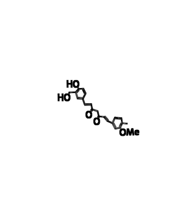 COc1cc(/C=C/C(=O)CC(=O)/C=C/c2ccc(O)c(CO)c2)ccc1C